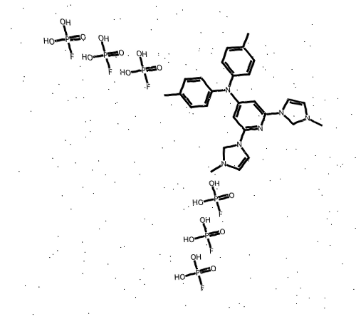 Cc1ccc(N(c2ccc(C)cc2)c2cc(N3C=CN(C)C3)nc(N3C=CN(C)C3)c2)cc1.O=P(O)(O)F.O=P(O)(O)F.O=P(O)(O)F.O=P(O)(O)F.O=P(O)(O)F.O=P(O)(O)F